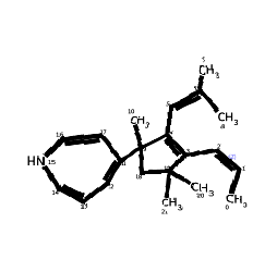 C/C=C\C1=C(C=C(C)C)C(C)(C2=CC=CNC=C2)CC1(C)C